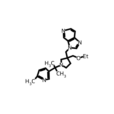 CCOCC1(Cn2cnc3ccncc32)CCN(C(C)(C)c2ccc(C)nc2)C1